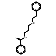 O=C(NCCCNCCc1ccccc1)c1ccccc1